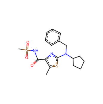 Cc1sc(N(Cc2ccccc2)C2CCCC2)nc1C(=O)NS(C)(=O)=O